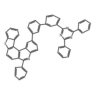 c1ccc(-c2nc(-c3ccccc3)nc(-c3cccc(-c4cccc(-c5ccc6nc(-c7ccccc7)c7ccc8sc9ccccc9c8c7c6c5)c4)c3)n2)cc1